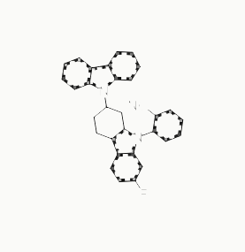 N#Cc1ccccc1-n1c2c(c3ccc(F)cc31)CCC(n1c3ccccc3c3ccccc31)C2